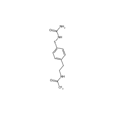 NC(=O)NSc1ccc(CCNC(=O)C(F)(F)F)cc1